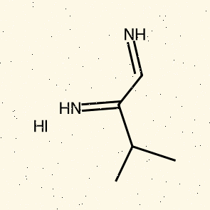 CC(C)C(=N)C=N.I